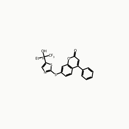 CC[C@](O)(c1cnc(Sc2ccc3c(-c4ccccc4)cc(=O)oc3c2)s1)C(F)(F)F